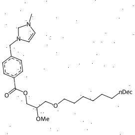 CCCCCCCCCCCCCCCCOCC(COC(=O)c1ccc(CN2[CH]N(C)C=C2)cc1)OC